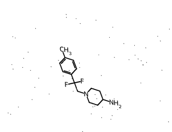 Cc1ccc(C(F)(F)CN2CCC(N)CC2)cc1